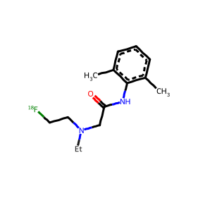 CCN(CC[18F])CC(=O)Nc1c(C)cccc1C